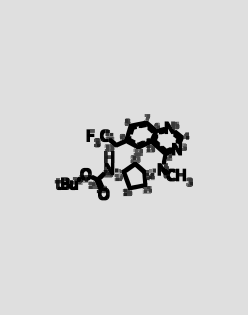 CN(c1ncnc2ccc(CC(F)(F)F)cc12)[C@@H]1CC[C@H](NC(=O)OC(C)(C)C)C1